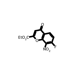 CCOC(=O)c1cc(=O)c2ccc(F)c([N+](=O)[O-])c2o1